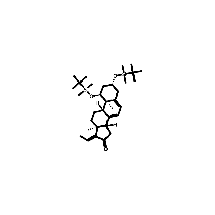 C/C=C1/C(=O)C[C@H]2C3=CC=C4C[C@@H](O[Si](C)(C)C(C)(C)C)C[C@H](O[Si](C)(C)C(C)(C)C)[C@]4(C)[C@H]3CC[C@]12C